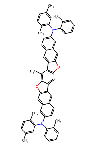 Cc1ccc(C)c(N(c2ccc3cc4c(cc3c2)oc2c(C)c3c(cc24)oc2cc4cc(N(c5ccccc5C)c5cc(C)ccc5C)ccc4cc23)c2ccccc2C)c1